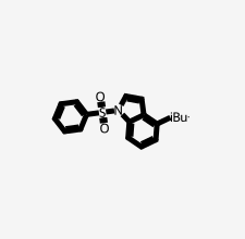 CC[C](C)c1cccc2c1ccn2S(=O)(=O)c1ccccc1